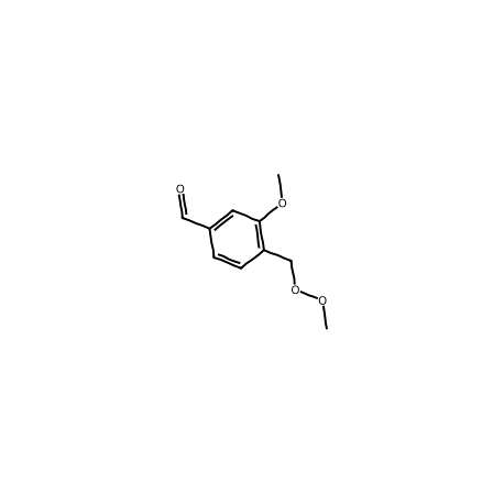 COOCc1ccc(C=O)cc1OC